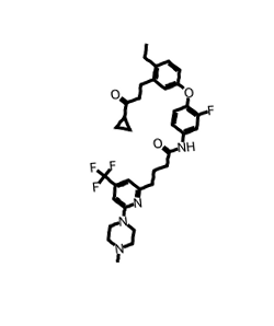 CCc1ccc(Oc2ccc(NC(=O)CCCc3cc(C(F)(F)F)cc(N4CCN(C)CC4)n3)cc2F)cc1CCC(=O)C1CC1